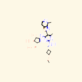 CCO[C@H]1C[C@H](CNc2nc(C)c(-c3nc4c(C)nccc4s3)c(N[C@@H]3C[C@H](CO)[C@@H](O)[C@H]3O)n2)C1